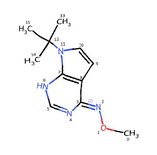 CO/N=c1\nc[nH]c2c1ccn2C(C)(C)C